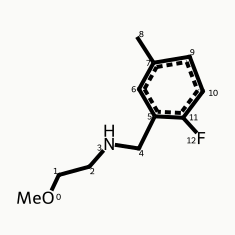 COCCNCc1cc(C)ccc1F